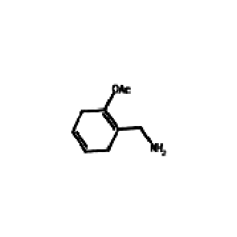 CC(=O)OC1=C(CN)CC=CC1